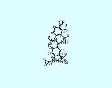 Cc1nc(N[C@H](C)c2cccc(C(F)(F)F)c2C)c2cc(P(C)(C)=O)c(NC3CC3)cc2n1